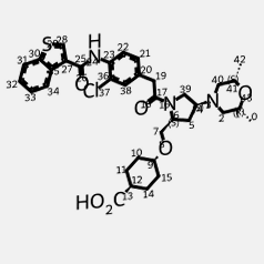 C[C@@H]1CN([C@H]2C[C@@H](CO[C@H]3CC[C@H](C(=O)O)CC3)N(C(=O)Cc3ccc(NC(=O)c4csc5ccccc45)c(Cl)c3)C2)C[C@H](C)O1